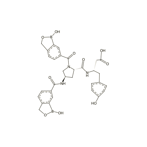 O=C(O)C[C@H](Cc1ccc(O)cc1)NC(=O)[C@@H]1C[C@@H](NC(=O)c2ccc3c(c2)B(O)OC3)CN1C(=O)c1ccc2c(c1)B(O)OC2